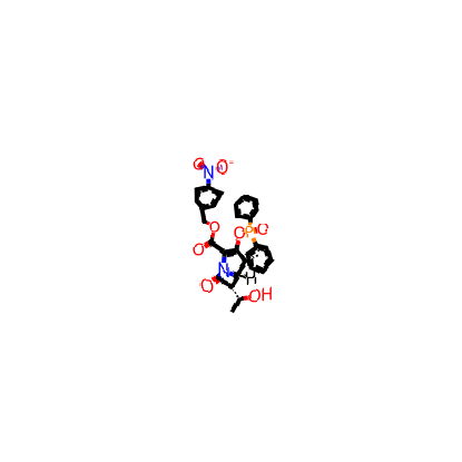 CC(O)[C@@H]1C(=O)N2C(C(=O)OCc3ccc([N+](=O)[O-])cc3)=C(OP(=O)(c3ccccc3)c3ccccc3)[C@H](C)[C@H]12